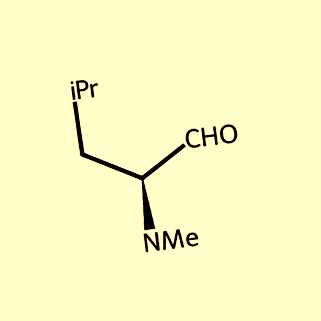 CN[C@H](C=O)CC(C)C